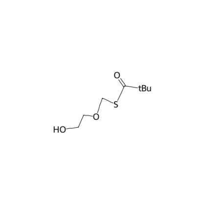 CC(C)(C)C(=O)SCOCCO